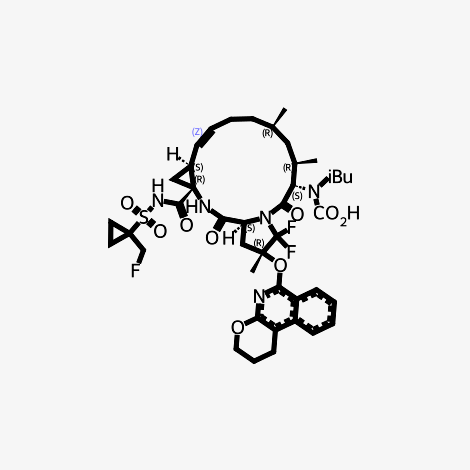 CCC(C)N(C(=O)O)[C@@H]1C(=O)N2[C@@H](C[C@@](C)(Oc3nc4c(c5ccccc35)CCCO4)C2(F)F)C(=O)N[C@]2(C(=O)NS(=O)(=O)C3(CF)CC3)C[C@H]2/C=C\CC[C@@H](C)C[C@H]1C